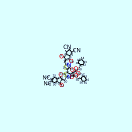 N#Cc1cc2c(cc1C#N)C(=O)C(=Cc1nc3c(s1)-c1sc(C=C4C(=O)c5cc(C#N)c(C#N)cc5C4=O)nc1C(C(=O)OCc1ccccc1)(C(=O)OCc1ccccc1)O3)C2=O